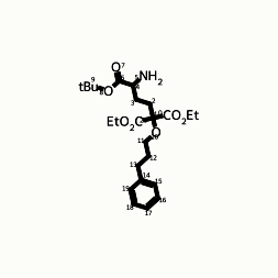 CCOC(=O)C(CCC(N)C(=O)OC(C)(C)C)(OCCCc1ccccc1)C(=O)OCC